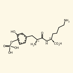 NCCCC[C@H](NC(=O)[C@@H](N)Cc1ccc(OP(=O)(O)O)c(O)c1)C(=O)O